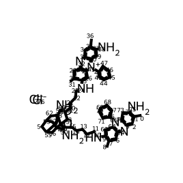 Cc1cc2nc3cc(C)c(NCCCCCCC4(CCCCCCNc5cc6c(cc5C)nc5cc(C)c(N)cc5[n+]6-c5ccccc5)C5(C(N)=O)CC6CC(C5)CC4(C(N)=O)C6)cc3[n+](-c3ccccc3)c2cc1N.[Cl-].[Cl-]